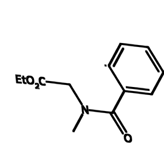 CCOC(=O)CN(C)C(=O)c1[c]cccc1